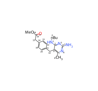 CCCCNc1nc(N)nc(C)c1Cc1ccc(CC(=O)OC)cc1